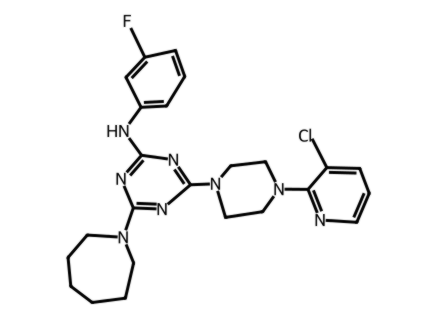 Fc1cccc(Nc2nc(N3CCCCCC3)nc(N3CCN(c4ncccc4Cl)CC3)n2)c1